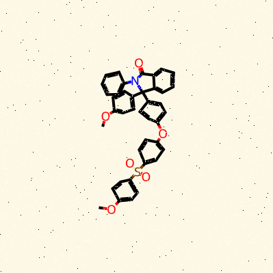 COc1ccc(C2(c3ccc(Oc4ccc(S(=O)(=O)c5ccc(OC)cc5)cc4)cc3)c3ccccc3C(=O)N2c2ccccc2)cc1